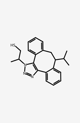 CC(C)C1Cc2ccccc2-c2c(nnn2C(C)CS)-c2ccccc21